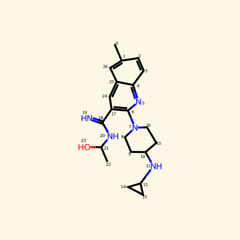 Cc1ccc2nc(N3CCC(NC4CC4)CC3)c(C(=N)NC(C)O)cc2c1